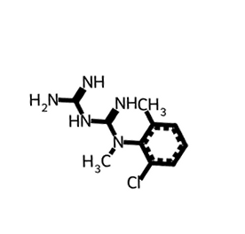 Cc1cccc(Cl)c1N(C)C(=N)NC(=N)N